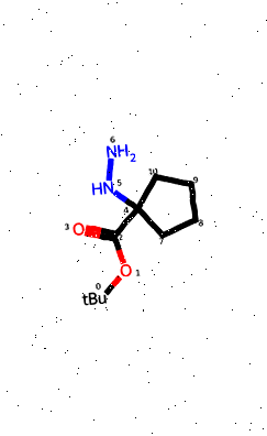 CC(C)(C)OC(=O)C1(NN)CCCC1